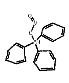 O=NO[PH](c1ccccc1)(c1ccccc1)c1ccccc1